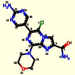 NC(=O)c1cn2c(Cl)c(-c3cnc(N)nc3)nc(N3CCOCC3)c2n1